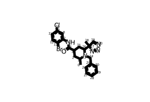 CC1CC(C(=O)Nc2cc(Cl)ccc2Br)CC(C2(C)C=NN=N2)N1Cc1ccccc1